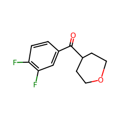 O=C(c1ccc(F)c(F)c1)C1CCOCC1